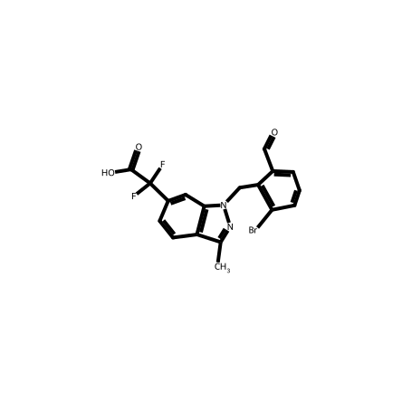 Cc1nn(Cc2c(Br)cccc2C=O)c2cc(C(F)(F)C(=O)O)ccc12